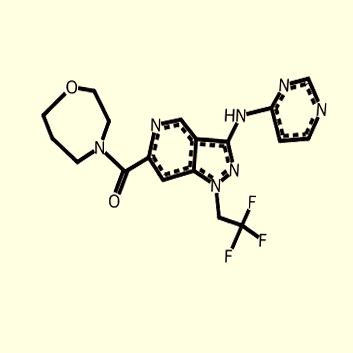 O=C(c1cc2c(cn1)c(Nc1ccncn1)nn2CC(F)(F)F)N1CCCOCC1